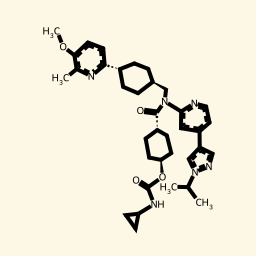 COc1ccc([C@H]2CC[C@H](CN(c3cc(-c4cnn(C(C)C)c4)ccn3)C(=O)[C@H]3CC[C@H](OC(=O)NC4CC4)CC3)CC2)nc1C